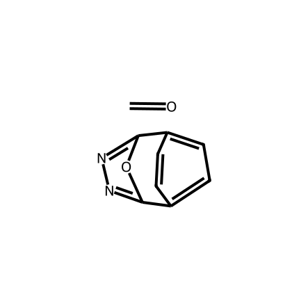 C=O.c1cc2ccc1-c1nnc-2o1